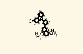 CC1(C)CCC(C)(C)c2cc(-c3cccc(-n4c5ccccc5c5cc(Cl)ccc54)c3)ccc21